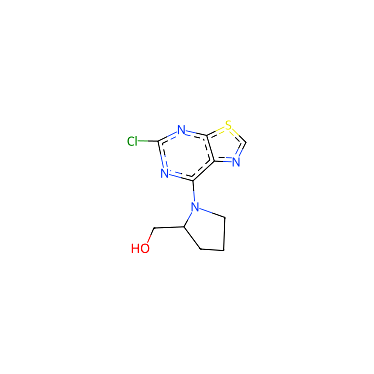 OCC1CCCN1c1nc(Cl)nc2scnc12